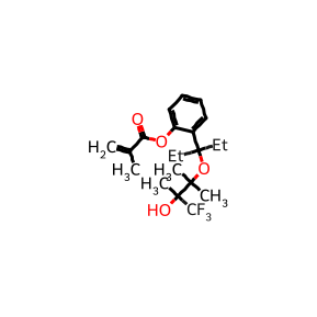 C=C(C)C(=O)Oc1ccccc1C(CC)(CC)OC(C)(C)C(C)(O)C(F)(F)F